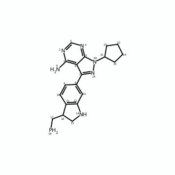 Nc1ncnc2c1c(-c1ccc3c(c1)NCC3CP)nn2C1CCCC1